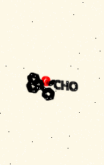 O=CCCOC1c2cccc3cccc(c23)C1C1CCCCC1